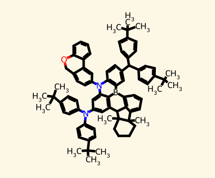 CC(C)(C)c1ccc(C(c2ccc(C(C)(C)C)cc2)c2ccc3c(c2)B2c4cccc5c4C(c4cc(N(c6ccc(C(C)(C)C)cc6)c6ccc(C(C)(C)C)cc6)cc(c42)N3c2ccc3c(c2)-c2ccccc2OC3)C2(C)CCCCC52C)cc1